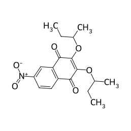 CCC(C)OC1=C(OC(C)CC)C(=O)c2cc([N+](=O)[O-])ccc2C1=O